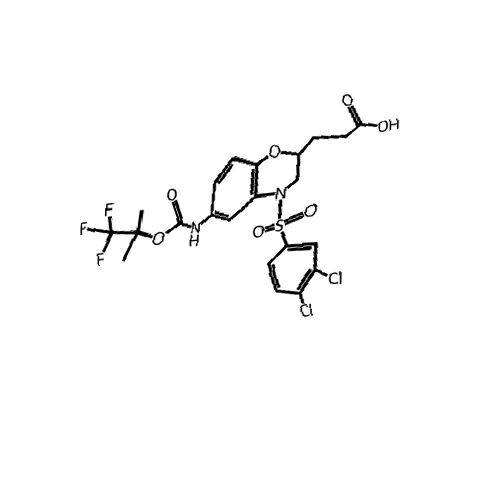 CC(C)(OC(=O)Nc1ccc2c(c1)N(S(=O)(=O)c1ccc(Cl)c(Cl)c1)CC(CCC(=O)O)O2)C(F)(F)F